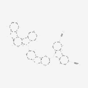 N#Cc1ccc2c(c1)c1cc(C#N)ccc1n2-c1ccc2sc3ccc(-n4c5ccccc5c5c6c(ccc54)sc4ccccc46)cc3c2c1